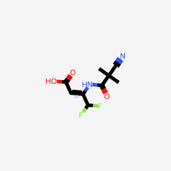 CC(C)(C#N)C(=O)N/C(=C\C(=O)O)C(F)F